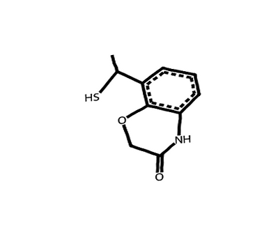 CC(S)c1cccc2c1OCC(=O)N2